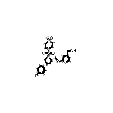 NCc1ccnc(OC[C@@H]2C[C@H](c3ccc(F)cc3)CN2S(=O)(=O)N2CCS(=O)(=O)CC2)c1